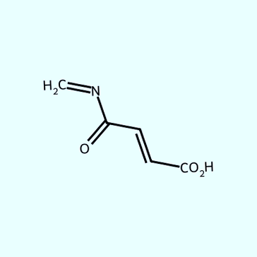 C=NC(=O)C=CC(=O)O